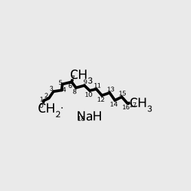 [CH2]CCCCCC(C)CCCCCCCCCC.[NaH]